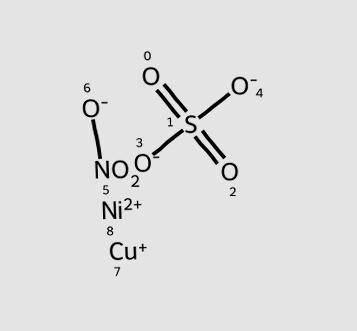 O=S(=O)([O-])[O-].O=[N+]([O-])[O-].[Cu+].[Ni+2]